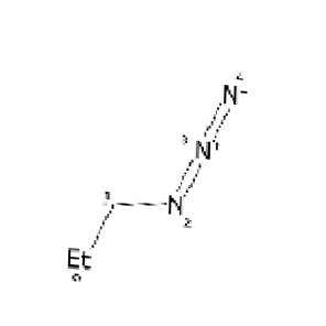 CC[CH]N=[N+]=[N-]